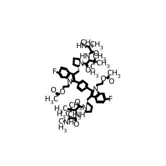 CN[C@@H](C)C(=O)N[C@H](C(=O)N1CCC[C@H]1Cc1c(-c2ccc(-c3c(C[C@@H]4CCCN4C(=O)[C@@H](NC(=O)[C@H](C)NC)C(C)(C)C)c4ccc(F)cc4n3CCOC(C)=O)cc2)n(CCOC(C)=O)c2cc(F)ccc12)C(C)(C)C